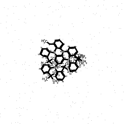 CCc1cccc2c1N(c1ccccc1C(C)(C)C)c1cc(N(c3ccccc3C(C)(C)C)c3ccccc3C(C)(C)C)cc3c1B2c1cccc(C(C)(C)C)c1N3c1ccccc1C(C)(C)C